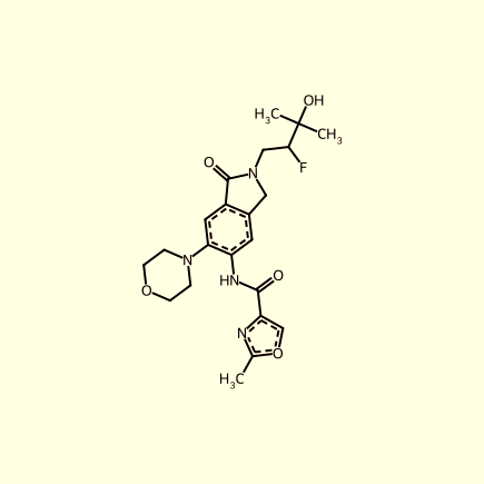 Cc1nc(C(=O)Nc2cc3c(cc2N2CCOCC2)C(=O)N(CC(F)C(C)(C)O)C3)co1